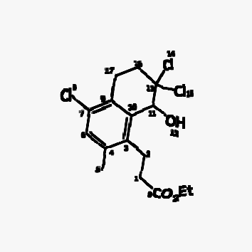 CCOC(=O)CCc1c(C)cc(Cl)c2c1C(O)C(Cl)(Cl)CC2